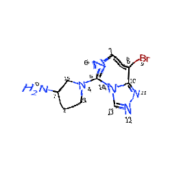 NC1CCN(c2ncc(Br)c3nncn23)C1